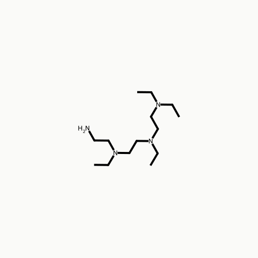 CCN(CC)CCN(CC)CCN(CC)CCN